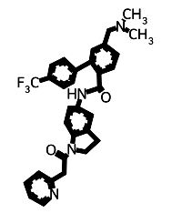 CN(C)Cc1ccc(C(=O)Nc2ccc3c(c2)CCN3C(=O)Cc2ccccn2)c(-c2ccc(C(F)(F)F)cc2)c1